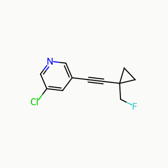 FCC1(C#Cc2cncc(Cl)c2)CC1